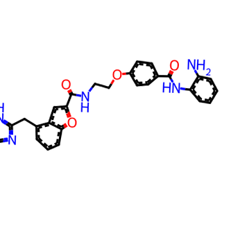 Nc1ccccc1NC(=O)c1ccc(OCCNC(=O)c2cc3c(Cc4ncc[nH]4)cccc3o2)cc1